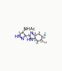 CC(=O)Nc1c[nH]nc1-c1nc2cc(F)c(C)cc2[nH]1